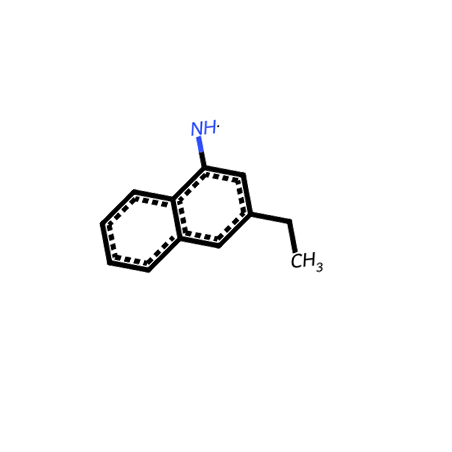 CCc1cc([NH])c2ccccc2c1